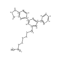 O=C(O)CCCCCOc1cc(-c2ccc3c(c2)OCO3)cc(-c2ccccc2)n1